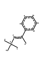 C/C(=N\[Si](C)(C)C)c1ccccc1